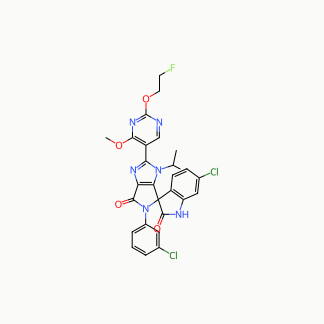 COc1nc(OCCF)ncc1-c1nc2c(n1C(C)C)C1(C(=O)Nc3cc(Cl)ccc31)N(c1cccc(Cl)c1)C2=O